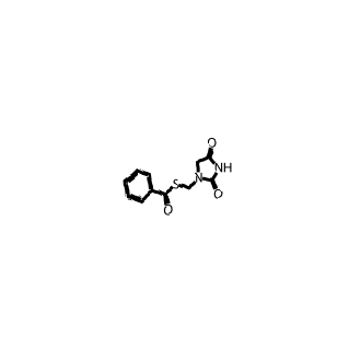 O=C1CN(CSC(=O)c2ccccc2)C(=O)N1